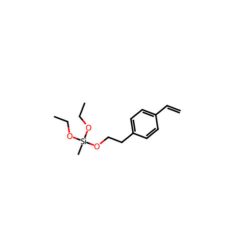 C=Cc1ccc(CCO[Si](C)(OCC)OCC)cc1